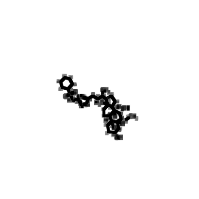 CC[C@H]1[C@@H](O)[C@@H]2[C@H](CC[C@]3(C)[C@@H]([C@H](C)CCc4nnc(NS(=O)(=O)C5CCCCC5)[nH]4)CC[C@@H]23)[C@@]2(C)CC[C@@H](O)C[C@@H]12